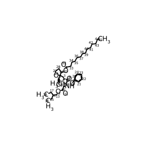 C#CC1(CO[P@@](=O)(N[C@@H](C)C(=O)OCC(CC)CC)Oc2ccccc2)OCCC1OC(=O)CCCCCCCCCCCCC